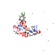 CC(C)OC(=O)[C@H](C)NP(=O)(OC[C@H]1O[C@@H](n2ccc(=O)[nH]c2=S)C(C)(O)[C@H]1O)Oc1ccc(Cl)cc1